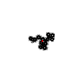 c1ccc(C2(c3ccccc3)c3ccccc3-c3cc(N(c4ccc(-c5cccc(-c6ccc7sc8ccccc8c7c6)c5)cc4)c4ccc5c(c4)C(c4ccccc4)(c4ccccc4)c4ccccc4-5)ccc32)cc1